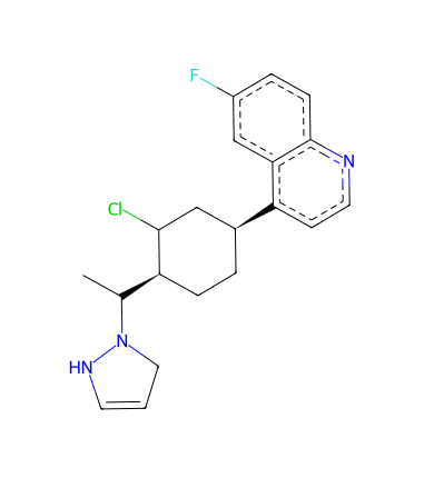 CC([C@@H]1CC[C@H](c2ccnc3ccc(F)cc23)CC1Cl)N1CC=CN1